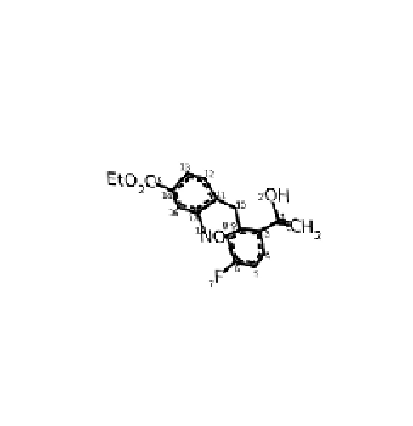 C=C(O)c1ccc(F)cc1Cc1ccc(C(=O)OCC)cc1[N+](=O)[O-]